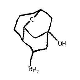 NC1CC2(O)CC3CCC1C(C3)C2